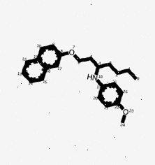 CCCCC(CCOc1ccc2ccccc2c1)Nc1ccc(OC)cc1